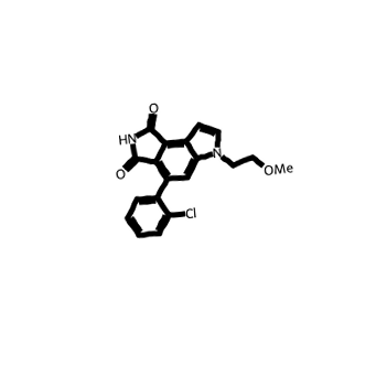 COCCn1ccc2c3c(c(-c4ccccc4Cl)cc21)C(=O)NC3=O